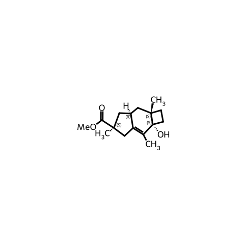 COC(=O)[C@]1(C)CC2=C(C)[C@]3(O)CC[C@@]3(C)C[C@@H]2C1